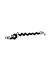 CCCCCCCCCCCCOc1ccc(CO)nc1